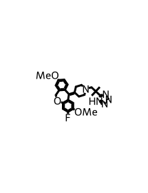 COc1ccc2c(c1)COc1cc(F)c(OC)cc1C2=C1CCN(CC(C)(C)c2nnn[nH]2)CC1